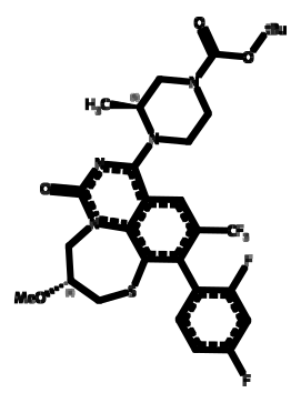 CO[C@H]1CSc2c(-c3ccc(F)cc3F)c(C(F)(F)F)cc3c(N4CCN(C(=O)OC(C)(C)C)C[C@@H]4C)nc(=O)n(c23)C1